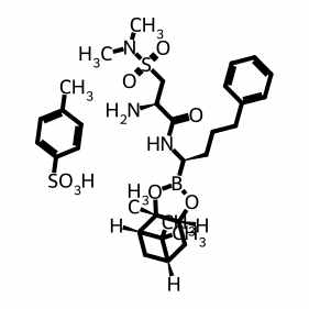 CN(C)S(=O)(=O)C[C@H](N)C(=O)N[C@@H](CCCc1ccccc1)B1O[C@@H]2C[C@@H]3C[C@@H](C3(C)C)[C@]2(C)O1.Cc1ccc(S(=O)(=O)O)cc1